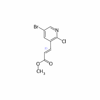 COC(=O)/C=C/c1cc(Br)cnc1Cl